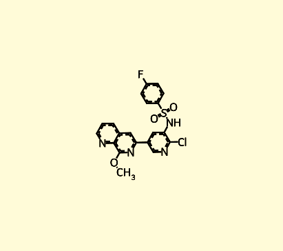 COc1nc(-c2cnc(Cl)c(NS(=O)(=O)c3ccc(F)cc3)c2)cc2cccnc12